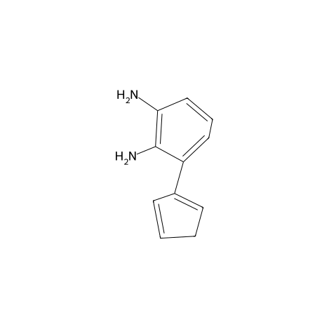 Nc1cccc(C2=CCC=C2)c1N